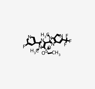 CCS(=O)(=O)c1c(-c2nc3cc(C(F)(F)F)ncc3n2C)nc(-c2cncc(F)c2)n1C